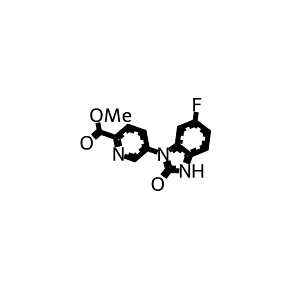 COC(=O)c1ccc(-n2c(=O)[nH]c3ccc(F)cc32)cn1